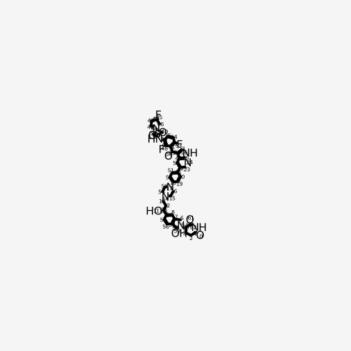 O=C1CC[C@H](N2Cc3cc([C@H](O)CCN4CCN(c5ccc(-c6cnc7[nH]cc(C(=O)c8c(F)ccc(NS(=O)(=O)N9CC[C@@H](F)C9)c8F)c7c6)cc5)CC4)ccc3C2O)C(=O)N1